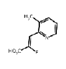 Cc1cccnc1/C=C(\F)C(=O)O